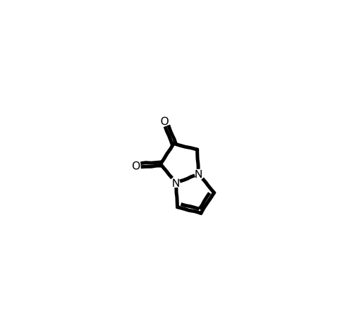 O=C1CN2C=C=CN2C1=O